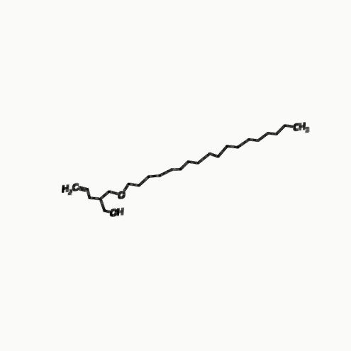 C=CCC(CO)COCCCCCCCCCCCCCCCCCC